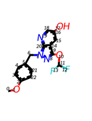 COc1ccc(Cn2nc(OC(F)F)c3cc(O)cnc32)cc1